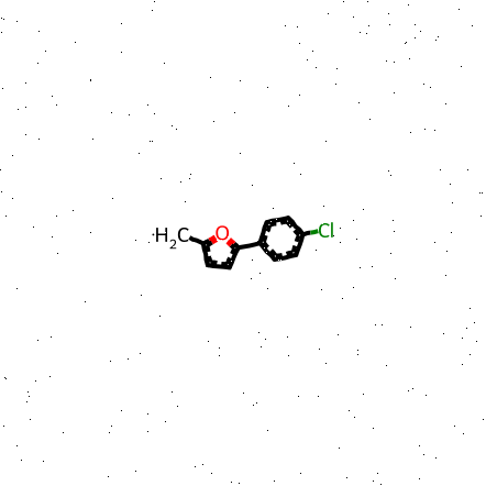 [CH2]c1ccc(-c2ccc(Cl)cc2)o1